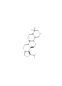 CC(C)C1=C2C3=CC[C@@H]4[C@@]5(C)CCCC(C)(C)[C@@H]5CC[C@@]4(C)[C@]3(C)CC[C@@]2(C)CC1